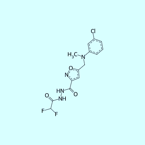 CN(Cc1cc(C(=O)NNC(=O)C(F)F)no1)c1cccc(Cl)c1